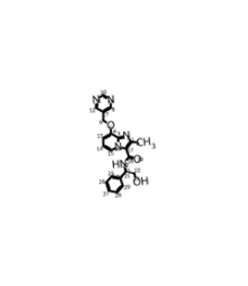 Cc1nc2c(OCc3cncnc3)cccn2c1C(=O)N[C@@H](CO)c1ccccc1